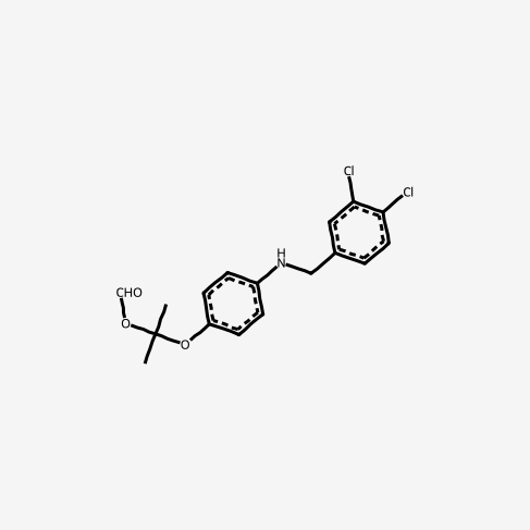 CC(C)(OC=O)Oc1ccc(NCc2ccc(Cl)c(Cl)c2)cc1